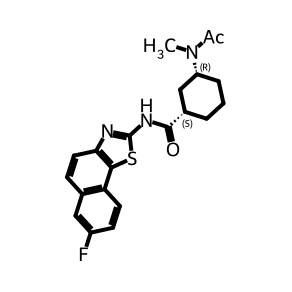 CC(=O)N(C)[C@@H]1CCC[C@H](C(=O)Nc2nc3ccc4cc(F)ccc4c3s2)C1